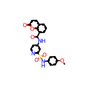 COc1ccc(NS(=O)(=O)c2cc(NC(=O)c3cccc4ccc(=O)oc34)ccn2)cc1